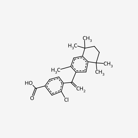 C=C(c1cc2c(cc1C)C(C)(C)CCC2(C)C)c1ccc(C(=O)O)cc1Cl